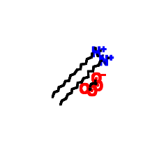 CCCCCCCCCCCCCCCC[N+](C)(C)C.CCCCCCCCCCCCCCCC[N+](C)(C)C.O=C([O-])CC(=O)[O-]